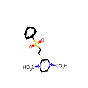 O=C(O)N1CCN(C(=O)O)[C@H](CCS(=O)(=O)c2ccccc2)C1